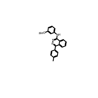 COc1cccc(Nc2nnc(-c3ccc(C)cc3)c3ccccc23)c1